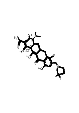 CN(C)[C@@H]1C(O)=C(C(N)=O)C(=N)[C@@]2(O)C(O)=C3C(=O)c4c(O)cc(CN5CCC(F)(F)C5)c(F)c4CC3CC12